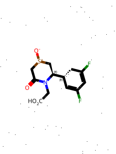 O=C(O)CN1C(=O)C[S+]([O-])C[C@H]1[C@H]1C=C(F)C=C(F)C1